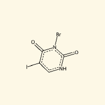 O=c1[nH]cc(I)c(=O)n1Br